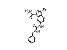 CCn1nc(C(N)=O)c2cc(NC(=O)NCc3ccccc3)ccc21